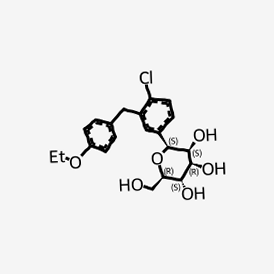 CCOc1ccc(Cc2cc([C@@H]3O[C@H](CO)[C@@H](O)[C@H](O)[C@@H]3O)ccc2Cl)cc1